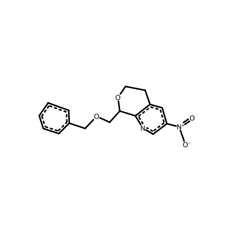 O=[N+]([O-])c1cnc2c(c1)CCOC2COCc1ccccc1